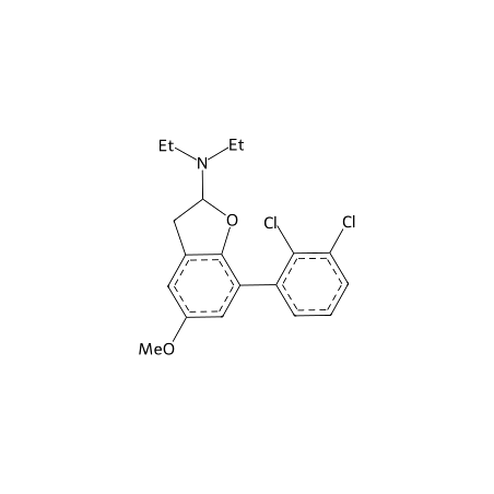 CCN(CC)C1Cc2cc(OC)cc(-c3cccc(Cl)c3Cl)c2O1